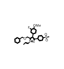 CC=Cn1nc(-c2ccc(S(C)(=O)=O)cc2)c(-c2ccc(OC)c(F)c2)c1COCc1ccccc1